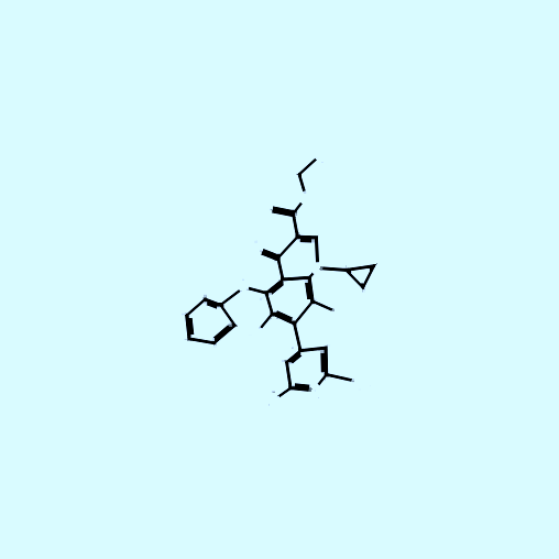 CCOC(=O)c1cn(C2CC2)c2c(F)c(-c3cc(C)nc(C)c3)c(F)c(Sc3ccccc3)c2c1=O